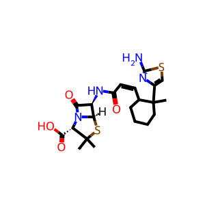 CC1(c2csc(N)n2)CCCCC1/C=C\C(=O)N[C@@H]1C(=O)N2[C@@H]1SC(C)(C)[C@@H]2C(=O)O